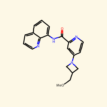 COCC1CN(c2ccnc(C(=O)Nc3cccc4cccnc34)c2)C1